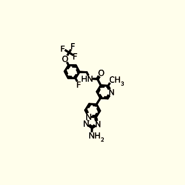 Cc1ncc(-c2ccn3nc(N)nc3c2)cc1C(=O)NCc1cc(OC(F)(F)F)ccc1F